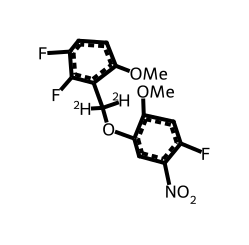 [2H]C([2H])(Oc1cc([N+](=O)[O-])c(F)cc1OC)c1c(OC)ccc(F)c1F